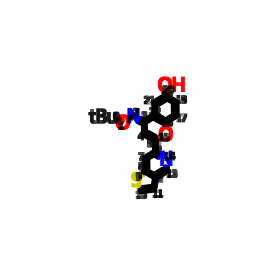 CC(C)(C)ON=c1cc(-c2cc3sccc3cn2)oc2ccc(O)cc12